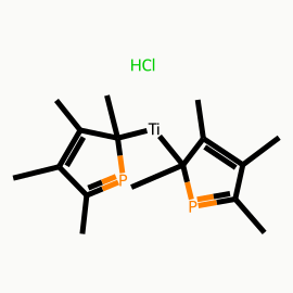 CC1=P[C](C)([Ti][C]2(C)P=C(C)C(C)=C2C)C(C)=C1C.Cl